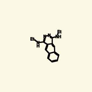 CCNc1nnc(NCC)c2cc3ccccc3cc12